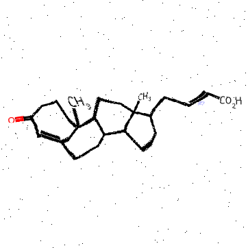 CC12CCC(=O)C=C1CCC1C2CCC2(C)C(C/C=C/C(=O)O)CCC12